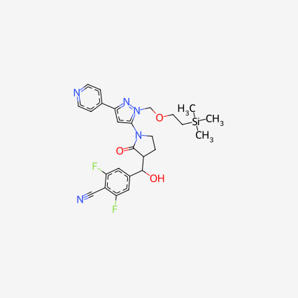 C[Si](C)(C)CCOCn1nc(-c2ccncc2)cc1N1CCC(C(O)c2cc(F)c(C#N)c(F)c2)C1=O